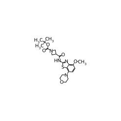 COc1ccc(N2CCOCC2)c2sc(NC(=O)C3CN(C(=O)OC(C)(C)C)C3)nc12